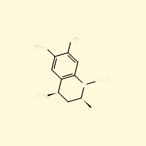 CCOC(=O)N1c2cc(OC)c(OC)cc2[C@H](N)C[C@@H]1C